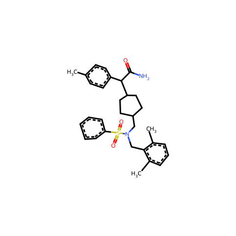 Cc1ccc(C(C(N)=O)C2CCC(CN(Cc3c(C)cccc3C)S(=O)(=O)c3ccccc3)CC2)cc1